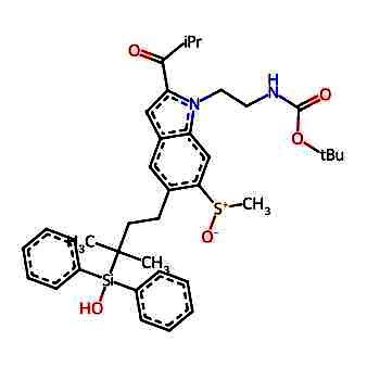 CC(C)C(=O)c1cc2cc(CCC(C)(C)[Si](O)(c3ccccc3)c3ccccc3)c([S+](C)[O-])cc2n1CCNC(=O)OC(C)(C)C